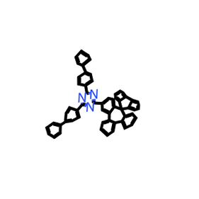 c1ccc(-c2ccc(-c3nc(-c4ccc(-c5ccccc5)cc4)nc(-c4ccc5c(c4)-c4ccccc4-c4ccccc4C54c5ccccc5-c5ccccc54)n3)cc2)cc1